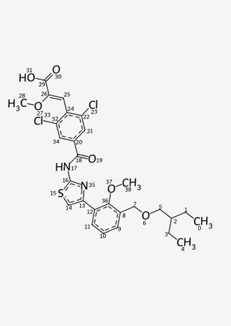 CCC(CC)COCc1cccc(-c2csc(NC(=O)c3cc(Cl)c(C=C(OC)C(=O)O)c(Cl)c3)n2)c1OC